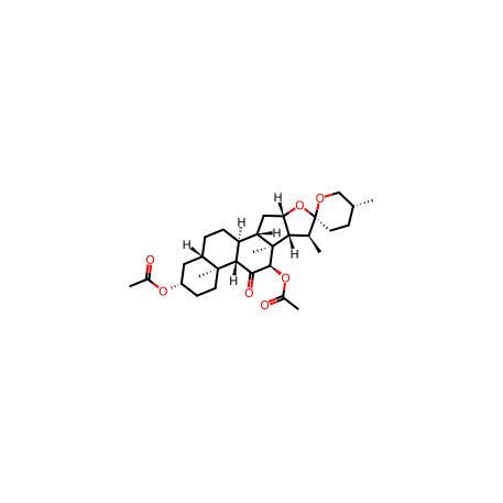 CC(=O)O[C@H]1CC[C@@]2(C)[C@@H](CC[C@@H]3[C@@H]2C(=O)[C@H](OC(C)=O)[C@]2(C)[C@@H]4[C@H](C[C@@H]32)O[C@]2(CC[C@@H](C)CO2)[C@H]4C)C1